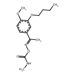 CCCCOc1cc(/C(C)=N/OC(=O)NC)ccc1OC